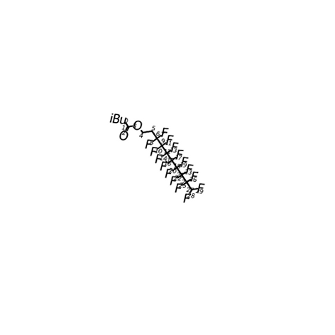 CCC(C)C(=O)OCCC(F)(F)C(F)(F)C(F)(F)C(F)(F)C(F)(F)C(F)(F)C(F)(F)C(F)F